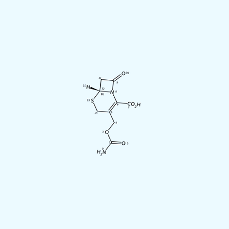 NC(=O)OCC1=C(C(=O)O)N2C(=O)C[C@H]2SC1